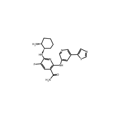 NC(=O)c1cc(F)c(N[C@@H]2CCCC[C@@H]2N)nc1Nc1cncc(-c2cncs2)c1